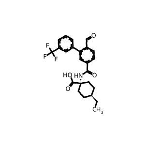 CC[C@H]1CC[C@@](NC(=O)c2ccc(C=O)c(-c3cccc(C(F)(F)F)c3)c2)(C(=O)O)CC1